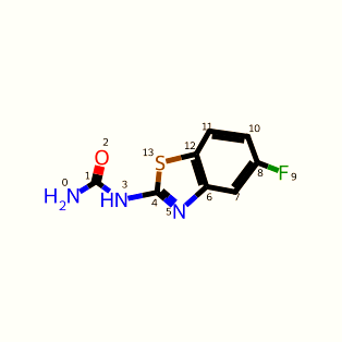 NC(=O)Nc1nc2cc(F)ccc2s1